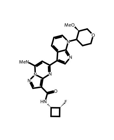 CNc1cc(-c2cnc3n(C4CCOC[C@@H]4OC)cccc2-3)nc2c(C(=O)N[C@H]3CC[C@H]3F)cnn12